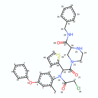 Cc1cc(Oc2ccccc2)ccc1N(C(=O)CCl)C(C(=O)N1CCNC(C(=O)NCc2ccccc2)C1)c1cccs1